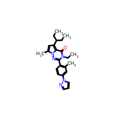 CCC(CC)c1cc(C)n2nc(-c3ccc(-n4cccn4)cc3C)n(CC)c(=O)c12